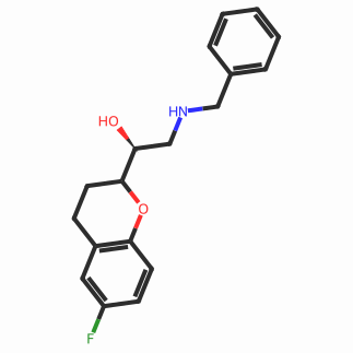 O[C@@H](CNCc1ccccc1)C1CCc2cc(F)ccc2O1